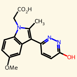 COc1ccc2c(c1)c(-c1ccc(O)nn1)c(C)n2CC(=O)O